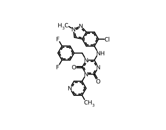 Cc1cncc(-n2c(=O)nc(Nc3cc4cn(C)nc4cc3Cl)n(Cc3cc(F)cc(F)c3)c2=O)c1